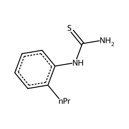 CCCc1ccccc1NC(N)=S